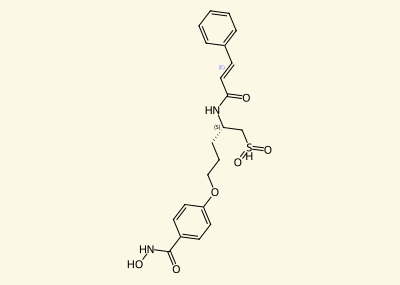 O=C(/C=C/c1ccccc1)N[C@@H](CCCOc1ccc(C(=O)NO)cc1)C[SH](=O)=O